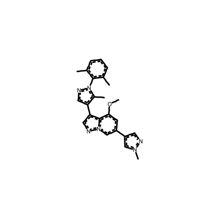 COc1cc(-c2cnn(C)c2)cn2ncc(-c3cnn(-c4c(C)cccc4C)c3C)c12